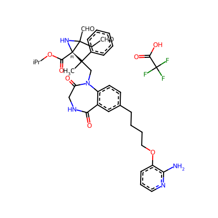 CC(C)OC(=O)[C@]1(C(C)(CN2C(=O)CNC(=O)c3cc(CCCCOc4cccnc4N)ccc32)c2ccccc2)NC1(C=O)CC=O.O=C(O)C(F)(F)F